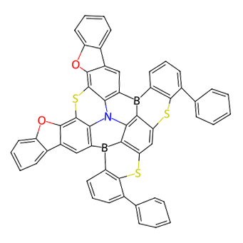 c1ccc(-c2cccc3c2Sc2cc4c5c6c2B3c2cc3c(oc7ccccc73)c3c2N6c2c(cc6c(oc7ccccc76)c2S3)B5c2cccc(-c3ccccc3)c2S4)cc1